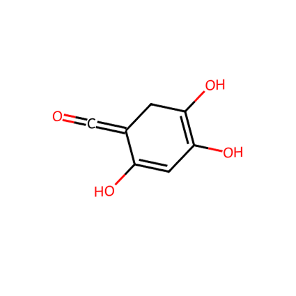 O=C=C1CC(O)=C(O)C=C1O